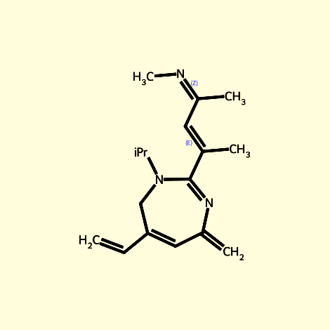 C=CC1=CC(=C)N=C(/C(C)=C/C(C)=N\C)N(C(C)C)C1